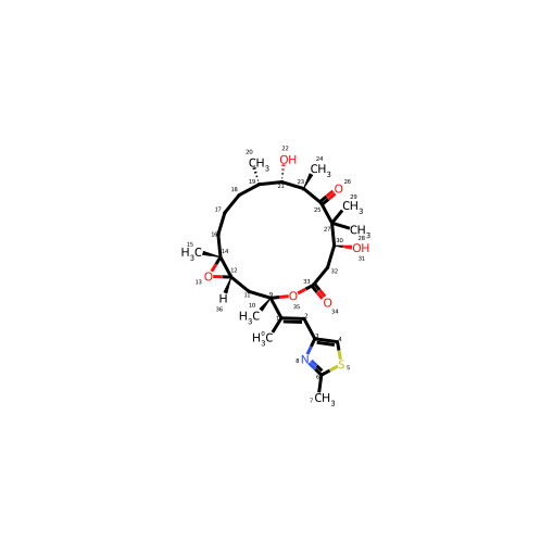 CC(=Cc1csc(C)n1)[C@]1(C)C[C@@H]2O[C@]2(C)CCC[C@H](C)[C@H](O)[C@@H](C)C(=O)C(C)(C)[C@@H](O)CC(=O)O1